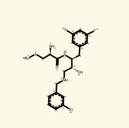 CCCCSC[C@@H](N)C(=O)N[C@@H](Cc1cc(F)cc(F)c1)[C@H](O)CNCc1cccc(CC)c1